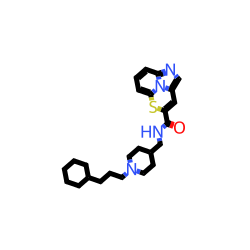 O=C(NCC1CCN(CCCC2CCCCC2)CC1)C1=Cc2cnc3cccc(n23)S1